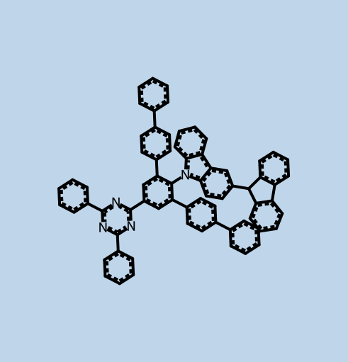 c1ccc(-c2ccc(-c3cc(-c4nc(-c5ccccc5)nc(-c5ccccc5)n4)cc(-c4ccc(-c5ccccc5)cc4)c3-n3c4ccccc4c4cc(C5c6ccccc6-c6ccccc65)ccc43)cc2)cc1